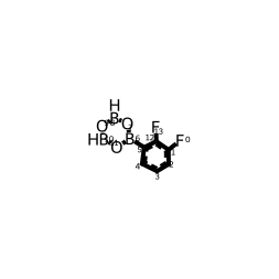 Fc1cccc(B2OBOBO2)c1F